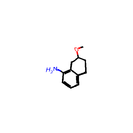 COC1CCc2cccc(N)c2C1